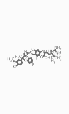 COc1cc(C(C)(C)c2cnc(SCc3c(F)cc(NC(CCC(NC(=N)N)C(C)(C)C)C(=O)O)cc3Cl)n2-c2ccc(F)cc2)ccc1Cl